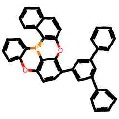 S=P12c3ccccc3Oc3ccc(-c4cc(-c5ccccc5)cc(-c5ccccc5)c4)c(c31)Oc1ccc3ccccc3c12